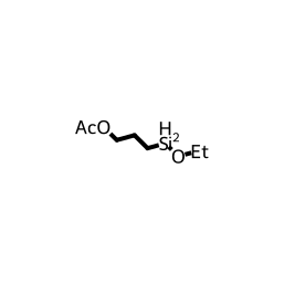 CCO[SiH2]CCCOC(C)=O